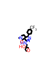 Cn1ccc2c(-c3ccc(C(F)(F)F)cc3)nnc(NC[C@@]3(O)CCOC3)c2c1=O